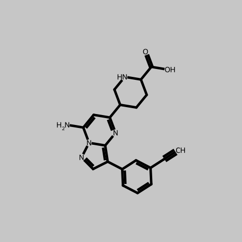 C#Cc1cccc(-c2cnn3c(N)cc(C4CCC(C(=O)O)NC4)nc23)c1